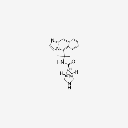 CC(C)(NC(=O)[C@H]1[C@@H]2CNC[C@@H]21)c1c2ccccc2cc2nccn12